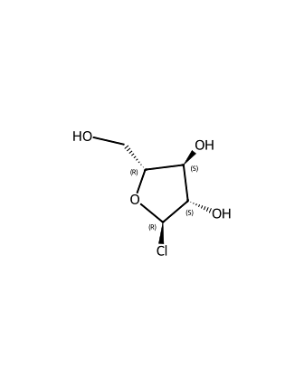 OC[C@H]1O[C@H](Cl)[C@@H](O)[C@@H]1O